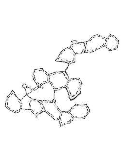 CC1(C)c2ccccc2-c2sc3c4ccc5ccccc5c4n(-c4c5ccccc5c(-c5ccc6oc7cc8ccccc8cc7c6c5)c5ccccc45)c3c21